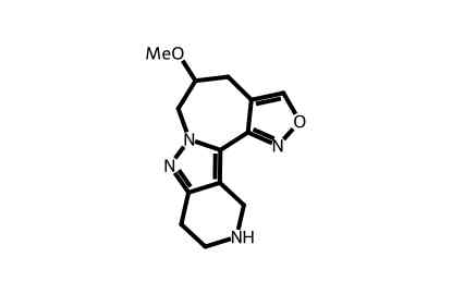 COC1Cc2conc2-c2c3c(nn2C1)CCNC3